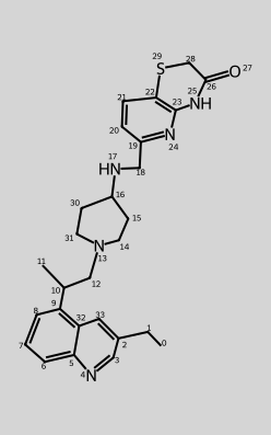 CCc1cnc2cccc(C(C)CN3CCC(NCc4ccc5c(n4)NC(=O)CS5)CC3)c2c1